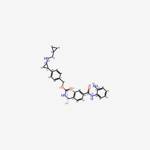 C[C@H](NC(=O)OCc1ccc(C2CC2NCC2CC2)cc1)c1ccc(C(=O)Nc2ccccc2N)cc1